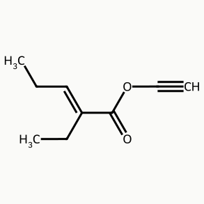 C#COC(=O)C(=CCC)CC